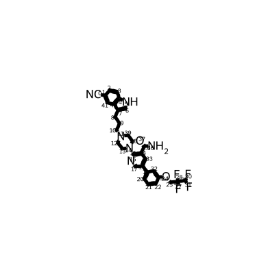 N#Cc1ccc2[nH]cc(CCCN3CCN(c4ncc(-c5cccc(OCC(F)(F)C(F)F)c5)cc4C(N)=O)CC3)c2c1